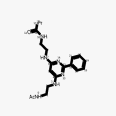 CC(=O)NCCNc1cc(NCCNC(=O)C(C)C)nc(-c2ccccc2)n1